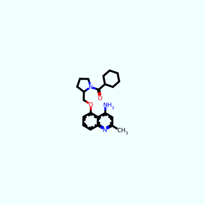 Cc1cc(N)c2c(OCC3CCCN3C(=O)C3CCCCC3)cccc2n1